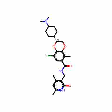 Cc1cc(C)c(CNC(=O)c2cc(Cl)c3c(c2C)OC[C@@H](C2CCC(N(C)C)CC2)O3)c(=O)[nH]1